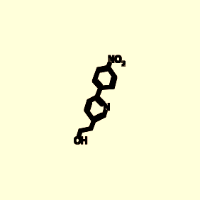 O=[N+]([O-])c1ccc(-c2ccc(CCO)cn2)cc1